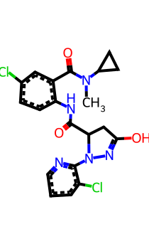 CN(C(=O)c1cc(Cl)ccc1NC(=O)C1CC(O)=NN1c1ncccc1Cl)C1CC1